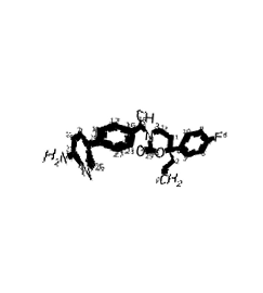 C=CC[C@]1(c2ccc(F)cc2)CCN([C@@H](C)c2ccc(-c3ccc(N)nc3)cc2)C(=O)O1